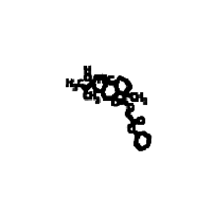 CC(C)C1(O)CCC2C(CCC3C(C)(C(=O)OCC(=O)OC4CCCCC4)CCCC23C)C1